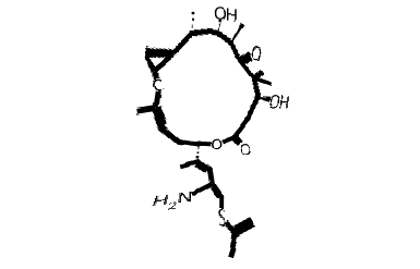 C=C(C)S/C=C(N)/C=C(\C)[C@@H]1C/C=C(/C)CC2CC2[C@H](C)[C@H](O)[C@@H](C)C(=O)C(C)(C)[C@@H](O)CC(=O)O1